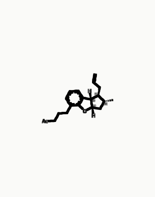 C=CC[C@@H]1[C@H]2c3cccc(CCCC(C)=O)c3O[C@H]2C[C@H]1C